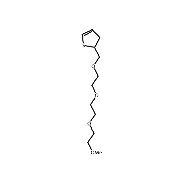 COCCOCCOCCOCC1CC=CS1